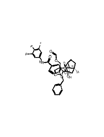 O=COCC1CON(Cc2ccccc2)C1[C@]1(O)CC2CC[C@@H](C1)[C@H]2S(=O)(=O)c1cc(C(=O)Nc2cc(F)c(F)c(F)c2)ccc1Cl